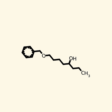 CCCC(O)CCCCOCc1ccccc1